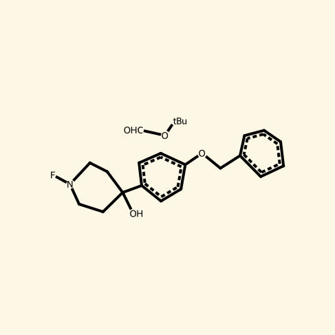 CC(C)(C)OC=O.OC1(c2ccc(OCc3ccccc3)cc2)CCN(F)CC1